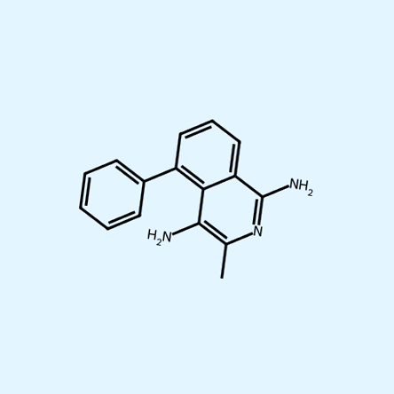 Cc1nc(N)c2cccc(-c3ccccc3)c2c1N